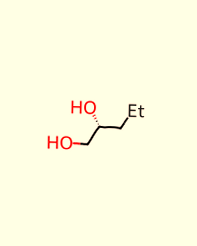 CCC[C@@H](O)CO